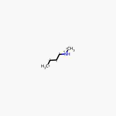 C[CH]CCNC